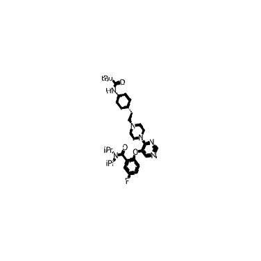 CC(C)N(C(=O)c1cc(F)ccc1Oc1cncnc1N1CCN(CC[C@H]2CC[C@H](NC(=O)C(C)(C)C)CC2)CC1)C(C)C